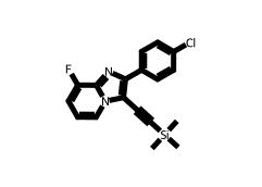 C[Si](C)(C)C#Cc1c(-c2ccc(Cl)cc2)nc2c(F)cccn12